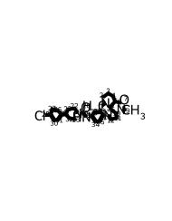 CN1CCCC(C(=O)N(C)[C@@H]2CCN(c3ccc(NC(=O)N4CCC(c5ccc(Cl)cc5)CC4)cc3)C2)C1